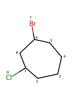 ClC1CCCCC(Br)C1